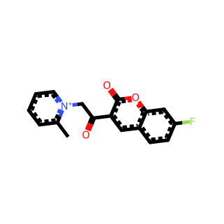 Cc1cccc[n+]1CC(=O)c1cc2ccc(F)cc2oc1=O